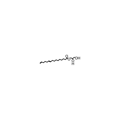 C=CCCC/C=C/CCCCCCCCC(=O)OCC(O)CO